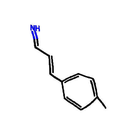 Cc1ccc(/C=C/C=N)cc1